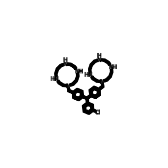 Clc1cccc(C(c2ccc(CN3CCCNCCNCCCNCC3)cc2)c2ccc(CN3CCCNCCNCCCNCC3)cc2)c1